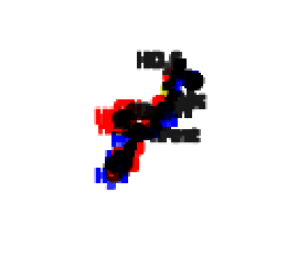 CCCCC[N+](C)(CC(=O)N[C@H](C(=O)N(C)[C@H](C[C@@H](OC(C)=O)c1nc(C(=O)N[C@@H](Cc2ccccc2)C[C@H](C)C(=O)O)cs1)C(C)C)[C@@H](C)CC)Cc1ccc(O[C@@H]2O[C@H](C(=O)O)[C@@H](O)[C@H](O)[C@H]2O)c(NC(=O)CCNC(=O)[C@H](CN)N2C(=O)C=CC2O)c1